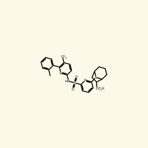 Cc1ccccc1-c1nc(NS(=O)(=O)c2cccc(N3C4CCCC3C(C(=O)O)C4)n2)ccc1C(F)(F)F